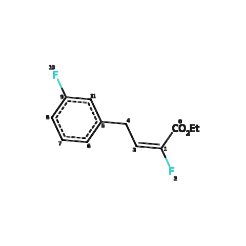 CCOC(=O)/C(F)=C\Cc1cccc(F)c1